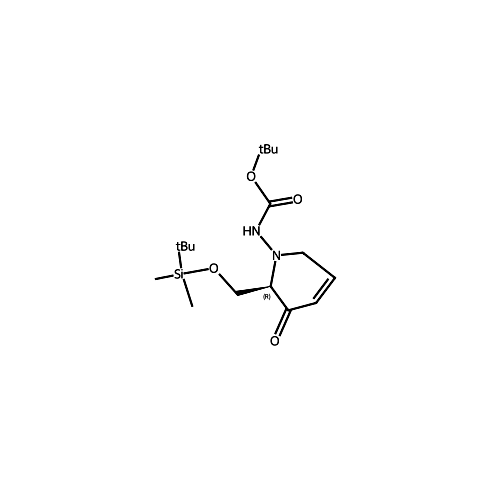 CC(C)(C)OC(=O)NN1CC=CC(=O)[C@H]1CO[Si](C)(C)C(C)(C)C